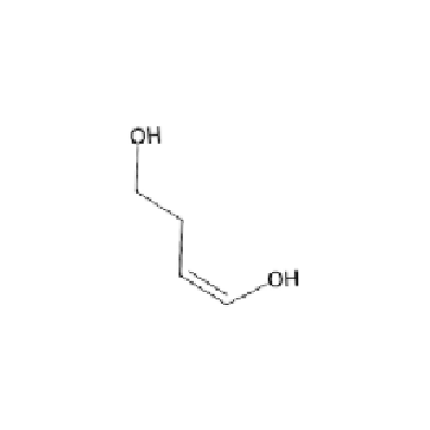 O/C=C\CCO